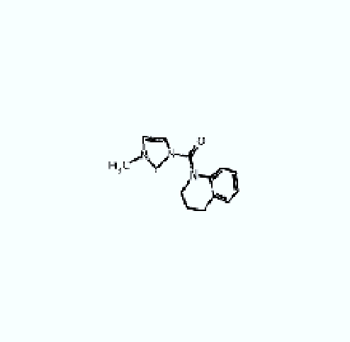 CN1[CH]N(C(=O)N2CCCc3ccccc32)C=C1